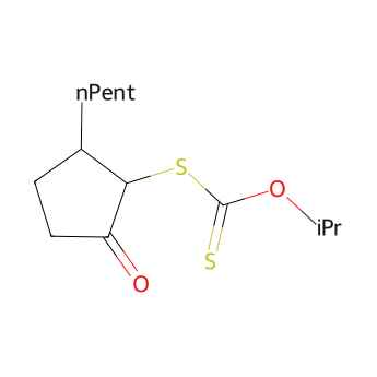 CCCCCC1CCC(=O)C1SC(=S)OC(C)C